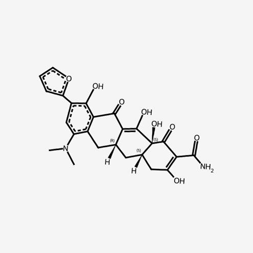 CN(C)c1cc(-c2ccco2)c(O)c2c1C[C@H]1C[C@H]3CC(O)=C(C(N)=O)C(=O)[C@@]3(O)C(O)=C1C2=O